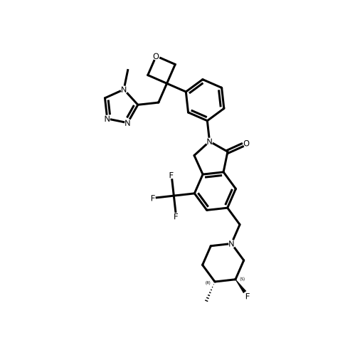 C[C@@H]1CCN(Cc2cc3c(c(C(F)(F)F)c2)CN(c2cccc(C4(Cc5nncn5C)COC4)c2)C3=O)C[C@H]1F